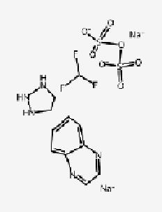 C1CNNN1.FC(F)F.O=S(=O)([O-])OS(=O)(=O)[O-].[Na+].[Na+].c1ccc2nccnc2c1